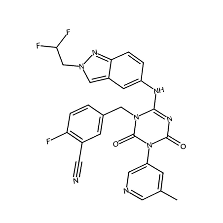 Cc1cncc(-n2c(=O)nc(Nc3ccc4nn(CC(F)F)cc4c3)n(Cc3ccc(F)c(C#N)c3)c2=O)c1